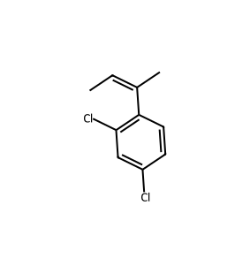 C/C=C(/C)c1ccc(Cl)cc1Cl